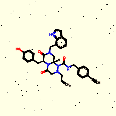 C#Cc1ccc(CNC(=O)N2[C@H]3CN(Cc4cccc5cc[nH]c45)C(=O)[C@H](Cc4ccc(O)cc4)N3C(=O)CN2CC=C)cc1